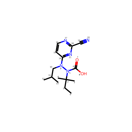 CCC(C)(C)N(C(=O)O)N(CC(C)C)c1ccnc(C#N)n1